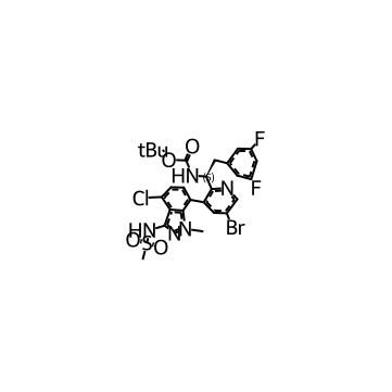 Cn1nc(NS(C)(=O)=O)c2c(Cl)ccc(-c3cc(Br)cnc3[C@H](Cc3cc(F)cc(F)c3)NC(=O)OC(C)(C)C)c21